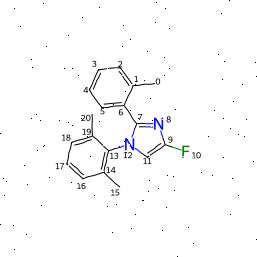 Cc1ccccc1-c1nc(F)cn1-c1c(C)cccc1C